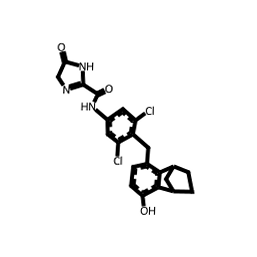 O=C1CN=C(C(=O)Nc2cc(Cl)c(Cc3ccc(O)c4c3C3CCC4C3)c(Cl)c2)N1